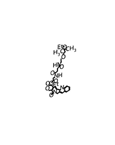 CCOC(C)(C)CCOCCNC(=O)CCC(=O)NCC(=O)O[C@]1(CC)C(=O)OCc2c1cc1n(c2=O)Cc2cc3ccccc3nc2-1